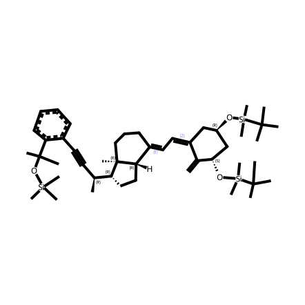 C=C1/C(=C\C=C2/CCC[C@]3(C)[C@@H]([C@@H](C)C#Cc4ccccc4C(C)(C)O[Si](C)(C)C)CC[C@@H]23)C[C@@H](O[Si](C)(C)C(C)(C)C)C[C@@H]1O[Si](C)(C)C(C)(C)C